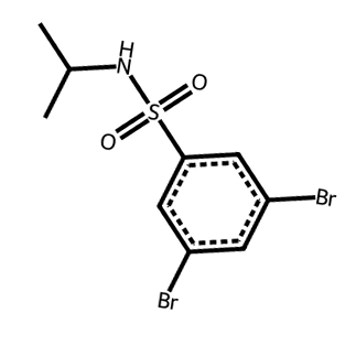 CC(C)NS(=O)(=O)c1cc(Br)cc(Br)c1